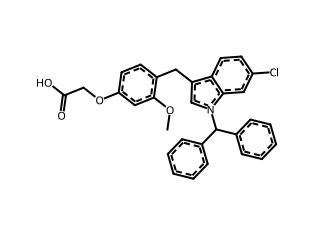 COc1cc(OCC(=O)O)ccc1Cc1cn(C(c2ccccc2)c2ccccc2)c2cc(Cl)ccc12